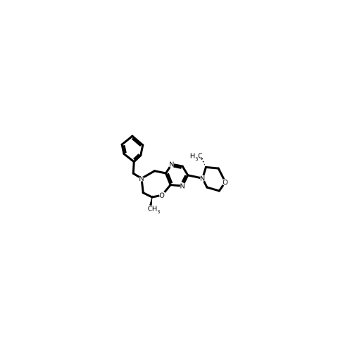 C[C@@H]1COCCN1c1cnc2c(n1)O[C@@H](C)CN(Cc1ccccc1)C2